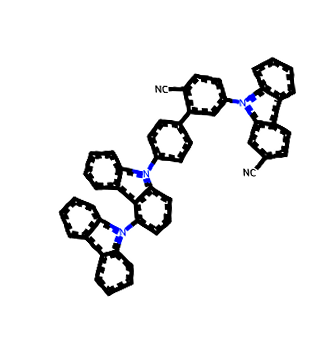 N#Cc1ccc2c3ccccc3n(-c3ccc(C#N)c(-c4ccc(-n5c6ccccc6c6c(-n7c8ccccc8c8ccccc87)cccc65)cc4)c3)c2c1